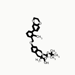 Cc1c(COc2ccc3c(c2)CN(C(=O)OC(C)(C)C)C(C)(C(=O)O)C3)cccc1-c1ccc2c(c1)OCCO2